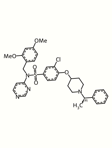 COc1ccc(CN(c2ccncn2)S(=O)(=O)c2ccc(OC3CCN([C@H](C)c4ccccc4)CC3)c(Cl)c2)c(OC)c1